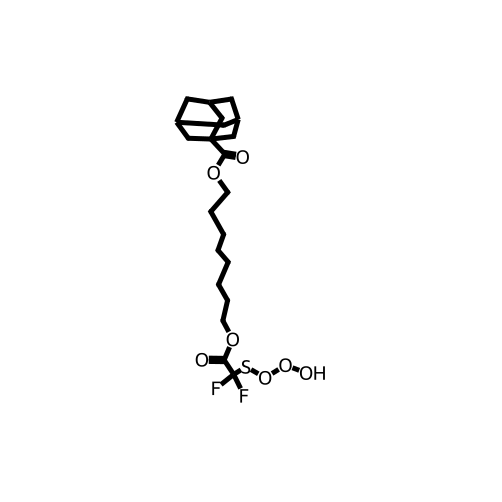 O=C(OCCCCCCCCOC(=O)C(F)(F)SOOO)C12CC3CC(CC(C3)C1)C2